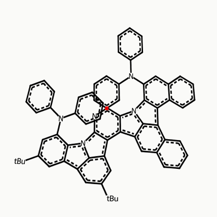 CC(C)(C)c1cc(N(c2ccccc2)c2ccccc2)c2c(c1)c1cc(C(C)(C)C)cc3c4c5c6cc7ccccc7c7c8c9ccccc9cc(N(c9ccccc9)c9ccccc9)c8n(c5cnc4n2c13)c67